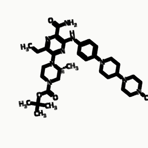 CCc1nc(C(N)=O)c(Nc2ccc(N3CCC(N4CCN(C)CC4)CC3)cc2)nc1N1CCN(C(=O)OC(C)(C)C)C[C@H]1C